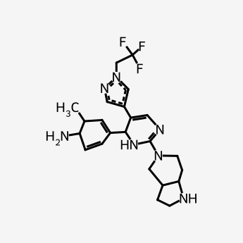 CC1C=C(C2NC(N3CCC4NCCC4C3)=NC=C2c2cnn(CC(F)(F)F)c2)C=CC1N